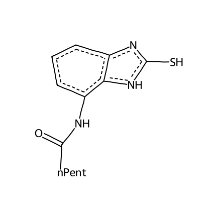 CCCCCC(=O)Nc1cccc2nc(S)[nH]c12